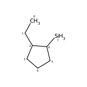 CCC1CCCC1[SiH3]